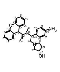 CN(C(=O)C1c2ccccc2Oc2ccccc21)[C@H](CN1CC[C@H](O)C1)c1ccc(N)cc1